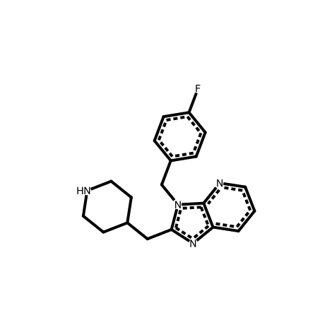 Fc1ccc(Cn2c(CC3CCNCC3)nc3cccnc32)cc1